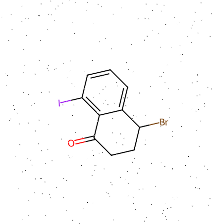 O=C1CCC(Br)c2cccc(I)c21